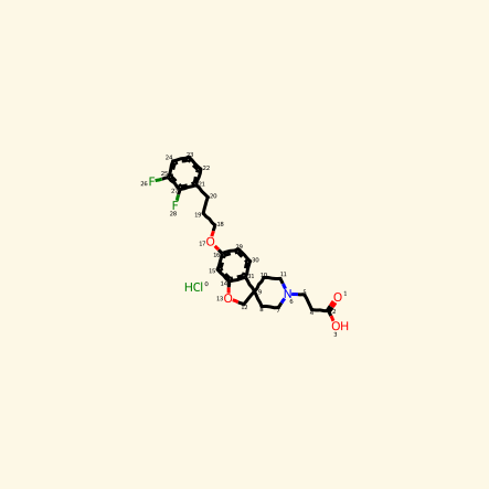 Cl.O=C(O)CCN1CCC2(CC1)COc1cc(OCCCc3cccc(F)c3F)ccc12